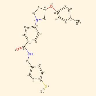 CCSc1ccc(CNC(=O)c2ccc(N3CCC(Oc4ccc(C(F)(F)F)cc4)C3)cc2)cc1